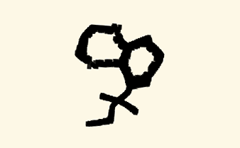 CCC(C)(C)c1cccc2nccnc12